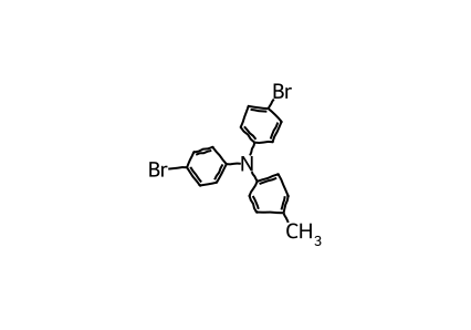 Cc1ccc(N(c2ccc(Br)cc2)c2ccc(Br)cc2)cc1